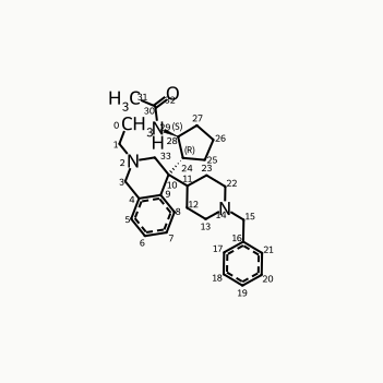 CCN1Cc2ccccc2C(C2CCN(Cc3ccccc3)CC2)([C@H]2CCC[C@@H]2NC(C)=O)C1